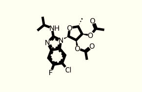 CC(=O)O[C@@H]1[C@H](OC(C)=O)[C@@H](C)O[C@H]1n1c(NC(C)C)nc2cc(F)c(Cl)cc21